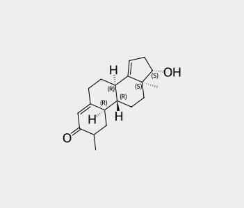 CC1C[C@H]2C(=CC1=O)CC[C@H]1C3=CC[C@H](O)[C@@]3(C)CC[C@H]21